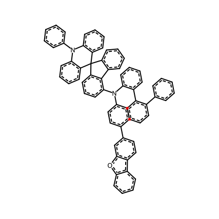 c1ccc(-c2ccccc2-c2ccccc2N(c2ccc(-c3ccc4c(c3)oc3ccccc34)cc2)c2cccc3c2-c2ccccc2C32c3ccccc3N(c3ccccc3)c3ccccc32)cc1